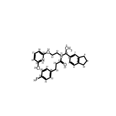 CC(c1ccc2c(c1)CCC2)N(CCOc1cccc(Cl)n1)C(=O)CCc1ccc(F)cc1